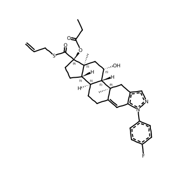 C=CCSC(=O)[C@@]1(OC(=O)CC)CC[C@H]2[C@@H]3CCC4=Cc5c(cnn5-c5ccc(F)cc5)C[C@]4(C)[C@H]3[C@@H](O)C[C@@]21C